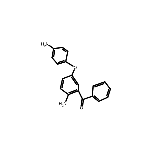 Nc1ccc(Oc2ccc(N)c(C(=O)c3ccccc3)c2)cc1